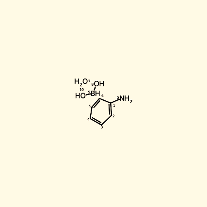 Nc1ccccc1.O.OBO